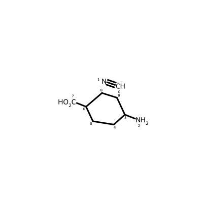 C#N.NC1CCC(C(=O)O)CC1